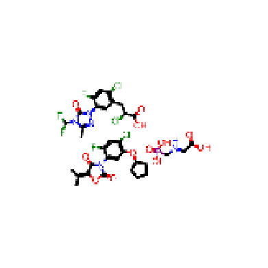 CC(C)=C1OC(=O)N(c2cc(OC3CCCC3)c(Cl)cc2F)C1=O.Cc1nn(-c2cc(CC(Cl)C(=O)O)c(Cl)cc2F)c(=O)n1C(F)F.O=C(O)CNCP(=O)(O)O